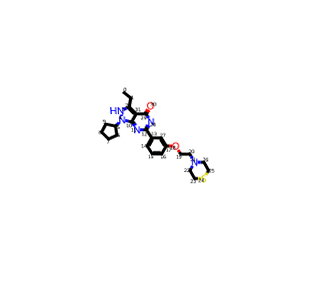 CCc1[nH]n(C2CCCC2)c2nc(-c3cccc(OCCN4CCSCC4)c3)nc(=O)c1-2